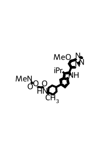 CNC(=O)OCC(=O)NC1(C)CCC(c2ccc3[nH]c(-c4cc(OC)c5ncnn5c4)c(C(C)C)c3c2)CC1